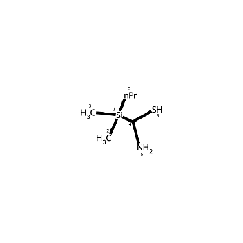 CCC[Si](C)(C)C(N)S